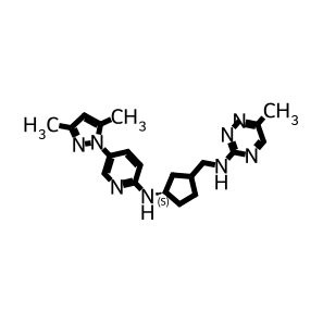 Cc1cnc(NCC2CC[C@H](Nc3ccc(-n4nc(C)cc4C)cn3)C2)nn1